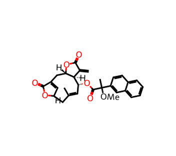 C=C1C(=O)O[C@H]2CC3=C[C@@H](C/C(C)=C/[C@@H](OC(=O)C(C)(OC)c4ccc5ccccc5c4)[C@H]12)OC3=O